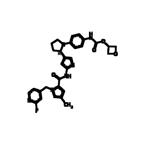 Cc1cc(C(=O)Nc2cc([C@H]3CCCN3c3ccc(NC(=O)OC4COC4)cc3)cs2)n(Cc2ccnc(F)c2)c1